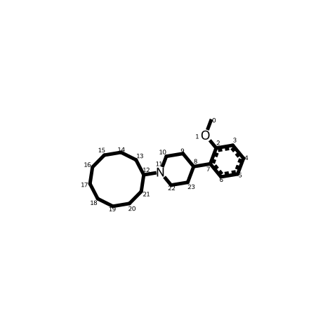 COc1ccccc1C1CCN(C2CCCCCCCCC2)CC1